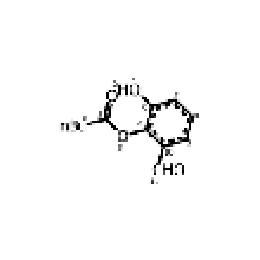 [CH2]CCCC(=O)Oc1c(O)cccc1C=O